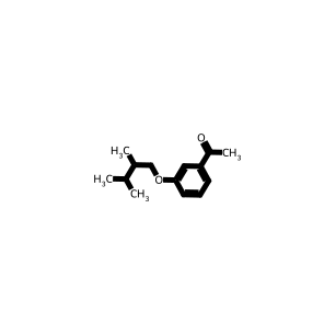 CC(=O)c1cccc(OCC(C)C(C)C)c1